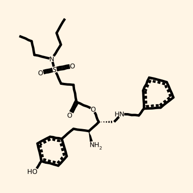 CCCN(CCC)S(=O)(=O)CCC(=O)O[C@H](CNCc1ccccc1)[C@@H](N)Cc1ccc(O)cc1